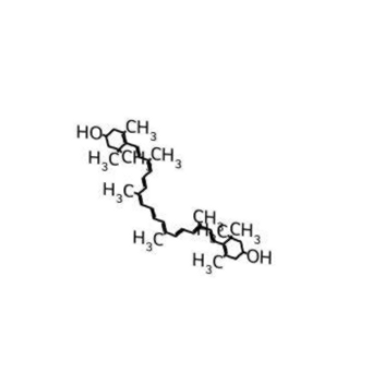 CC(C=CC=C(C)C=CC1=C(C)CC(O)CC1(C)C)=CC=CC=C(C)C=CC=C(C)C=CC1=C(C)CC(O)CC1(C)C